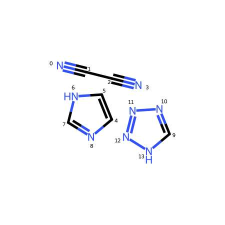 N#CC#N.c1c[nH]cn1.c1nnn[nH]1